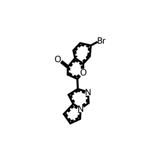 O=c1cc(-c2cc3cccn3cn2)oc2cc(Br)ccc12